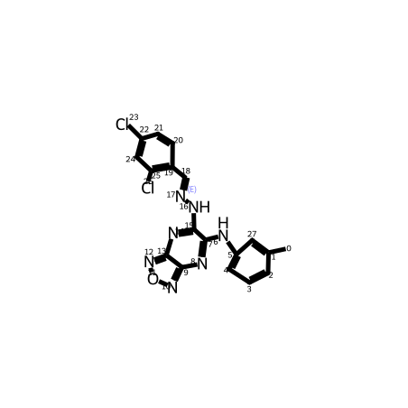 Cc1cccc(Nc2nc3nonc3nc2N/N=C/c2ccc(Cl)cc2Cl)c1